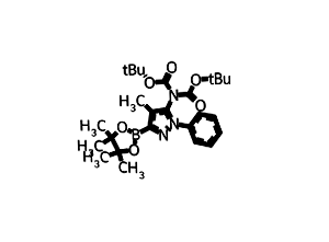 Cc1c(B2OC(C)(C)C(C)(C)O2)nn(-c2ccccc2)c1N(C(=O)OC(C)(C)C)C(=O)OC(C)(C)C